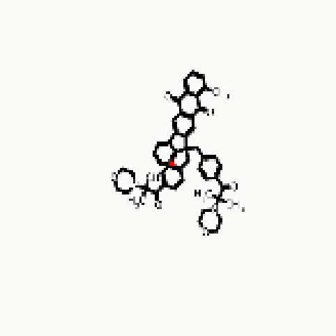 Cc1cccc2c1C(=O)c1cc3c(cc1C2=O)-c1ccccc1C3(Cc1ccc(C(=O)C(C)(C)N2CCOCC2)cc1)Cc1ccc(C(=O)C(C)(C)N2CCOCC2)cc1